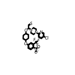 O=[N+]([O-])c1ccc(OC2CCC(OC(C=S)N3CCN(c4ccc(Cl)cn4)CC3)CC2)cc1C(F)(F)F